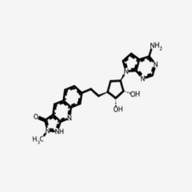 Cn1[nH]c2nc3cc(CC[C@H]4C[C@@H](n5ccc6c(N)ncnc65)[C@H](O)[C@@H]4O)ccc3cc2c1=O